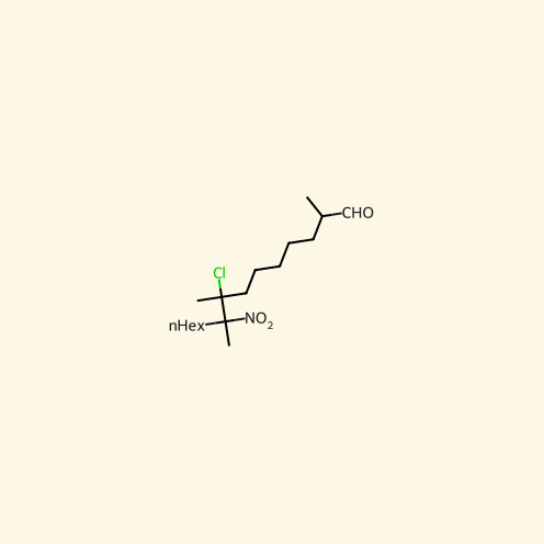 CCCCCCC(C)([N+](=O)[O-])C(C)(Cl)CCCCCC(C)C=O